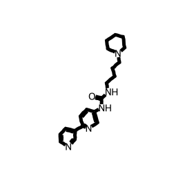 O=C(NCCCCN1CCCCC1)Nc1ccc(-c2cccnc2)nc1